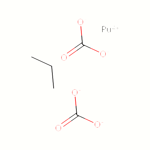 CCC.O=C([O-])[O-].O=C([O-])[O-].[Pu+4]